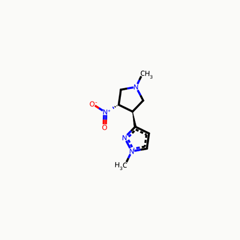 CN1C[C@@H]([N+](=O)[O-])[C@H](c2ccn(C)n2)C1